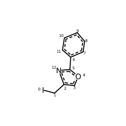 ICc1coc(-c2ccccc2)n1